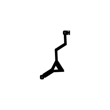 O=c1cc1CCO